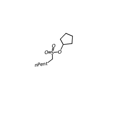 [CH2]CCCCCS(=O)(=O)OC1CCCC1